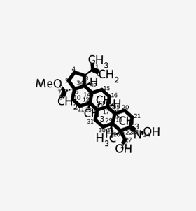 C=C(C)[C@@H]1CC[C@]2(C(=C)OC)CC[C@]3(C)C(CC[C@@H]4[C@@]5(C)CC/C(=N\O)[C@@](C)(CO)[C@@H]5CC[C@]43C)[C@@H]12